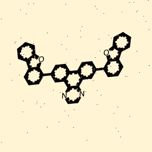 c1ccc2c(c1)oc1c(-c3ccc4c5ccc(-c6cccc7c6oc6ccccc67)cc5c5nccnc5c4c3)cccc12